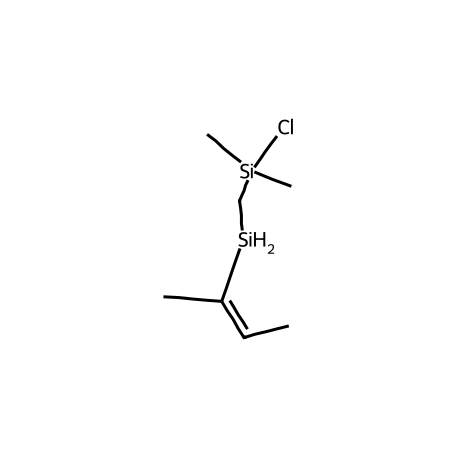 CC=C(C)[SiH2]C[Si](C)(C)Cl